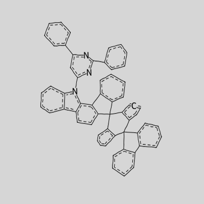 c1ccc(-c2cc(-n3c4ccccc4c4ccc5c(c43)-c3ccccc3C53c4ccccc4C4(c5ccccc5-c5ccccc54)c4ccccc43)nc(-c3ccccc3)n2)cc1